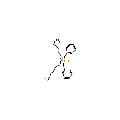 CCCC[CH2][Pd][CH2]CCCC.c1ccc(CPCc2ccccc2)cc1